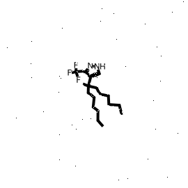 CCCCCCC(C)(CCCCCC)c1c[nH]nc1C(F)(F)F